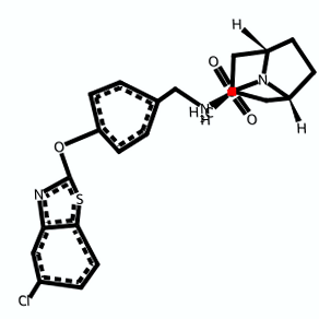 CS(=O)(=O)N1[C@@H]2CC[C@H]1C[C@H](NCc1ccc(Oc3nc4cc(Cl)ccc4s3)cc1)C2